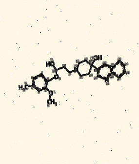 COc1cc(C)ccc1OC(O)CCN1CCC(O)(c2cnc3ccccc3c2)CC1